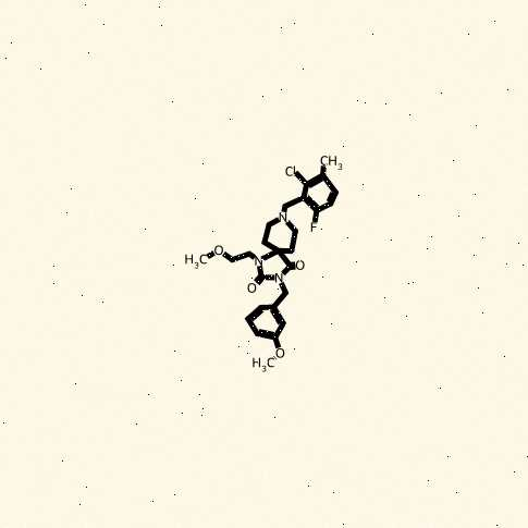 COCCN1C(=O)N(Cc2cccc(OC)c2)C(=O)C12CCN(Cc1c(F)ccc(C)c1Cl)CC2